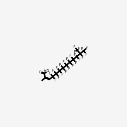 CC(=CC(F)(F)C(F)(F)C(F)(F)C(F)(F)C(F)(F)C(F)(F)C(F)(F)C(F)(F)C(F)(C(F)(F)F)C(F)(F)F)C(=O)O